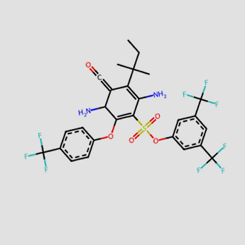 CCC(C)(C)C1=C(N)C(S(=O)(=O)Oc2cc(C(F)(F)F)cc(C(F)(F)F)c2)=C(Oc2ccc(C(F)(F)F)cc2)C(N)C1=C=O